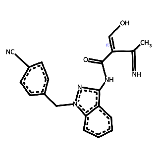 CC(=N)/C(=C\O)C(=O)Nc1nn(Cc2ccc(C#N)cc2)c2ccccc12